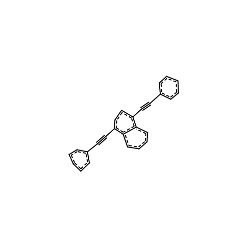 C(#Cc1ccc(C#Cc2ccccc2)c2ccccc12)c1ccccc1